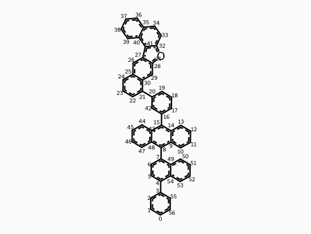 c1ccc(-c2ccc(-c3c4ccccc4c(-c4cccc(-c5cccc6cc7c(cc56)oc5ccc6ccccc6c57)c4)c4ccccc34)c3ccccc23)cc1